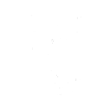 O=C(CO)[N+](CC#CCN1C[C@H]2C[C@H]2C1)(c1ccc(F)cc1)c1ccc(F)cc1